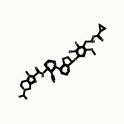 COc1cc(OC2CCc3c(-c4cccc(NC(=O)c5nc6c(n5C)CCN(C(C)C)C6)c4C#N)cccc32)c(Cl)c(F)c1CNOC(=O)C1CC1